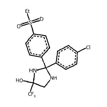 CCS(=O)(=O)c1ccc(C2(c3ccc(Cl)cc3)NCC(O)(C(F)(F)F)N2)cc1